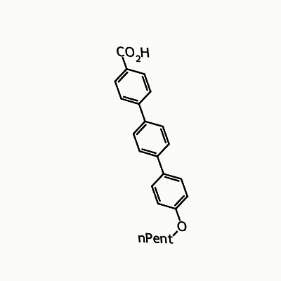 CCCCCOc1ccc(-c2ccc(-c3ccc(C(=O)O)cc3)cc2)cc1